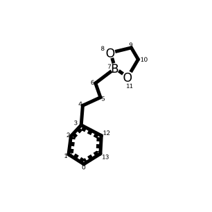 c1ccc(CCCB2OCCO2)cc1